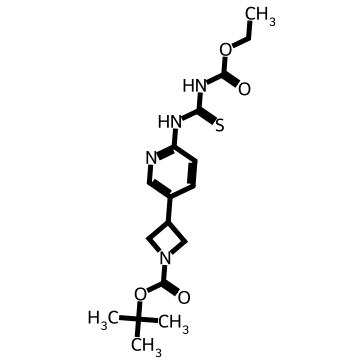 CCOC(=O)NC(=S)Nc1ccc(C2CN(C(=O)OC(C)(C)C)C2)cn1